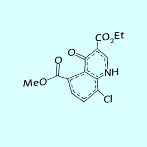 CCOC(=O)c1c[nH]c2c(Cl)ccc(C(=O)OC)c2c1=O